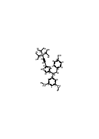 COc1cc(OC)cc(N(Cc2ccc(F)cc2)c2csc(C#C[Si](C(C)C)(C(C)C)C(C)C)n2)c1